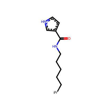 CC(C)CCCCCNC(=O)c1cc[nH]c1